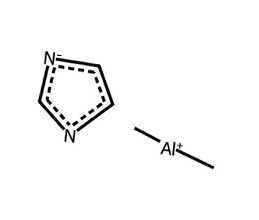 [CH3][Al+][CH3].c1c[n-]cn1